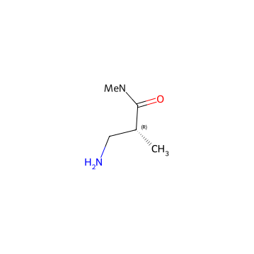 CNC(=O)[C@H](C)CN